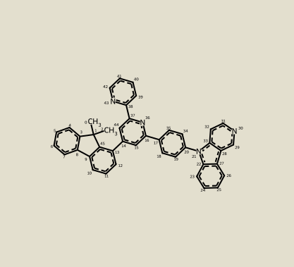 CC1(C)c2ccccc2-c2cccc(-c3cc(-c4ccc(-n5c6ccccc6c6cnccc65)cc4)nc(-c4ccccn4)c3)c21